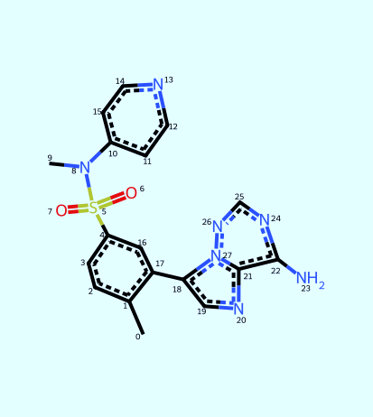 Cc1ccc(S(=O)(=O)N(C)c2ccncc2)cc1-c1cnc2c(N)ncnn12